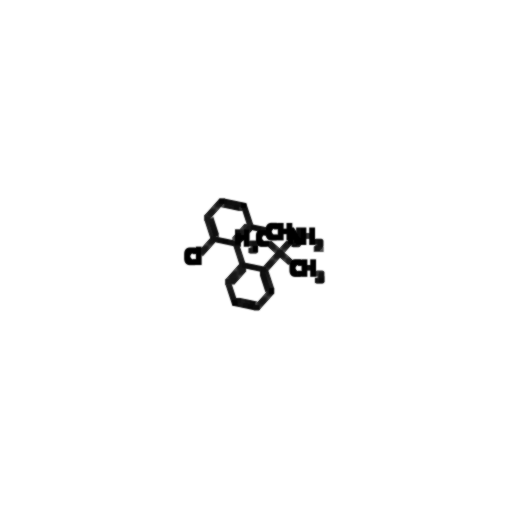 Cc1cccc(Cl)c1-c1ccccc1C(C)(C)N